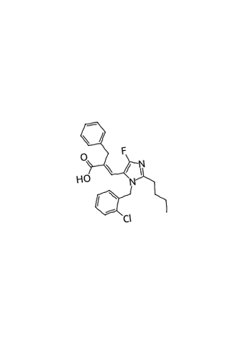 CCCCc1nc(F)c(C=C(Cc2ccccc2)C(=O)O)n1Cc1ccccc1Cl